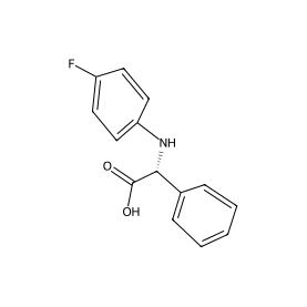 O=C(O)[C@H](Nc1ccc(F)cc1)c1ccccc1